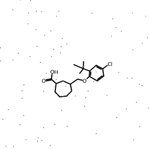 CC(C)(C)c1cc(Cl)ccc1OCC1CCCCC(C(=O)O)C1